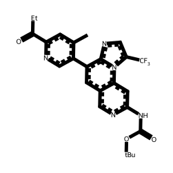 CCC(=O)c1cc(C)c(-c2cc3cnc(NC(=O)OC(C)(C)C)cc3n3c(C(F)(F)F)cnc23)cn1